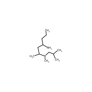 CCCC(N)CC(C)N(C)CC(C)C